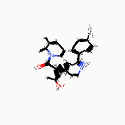 C=C1C(C)=CC=CN1C(=O)/C(=C(\C)O)c1ccnc(-c2ccc(C(F)(F)F)cc2)c1